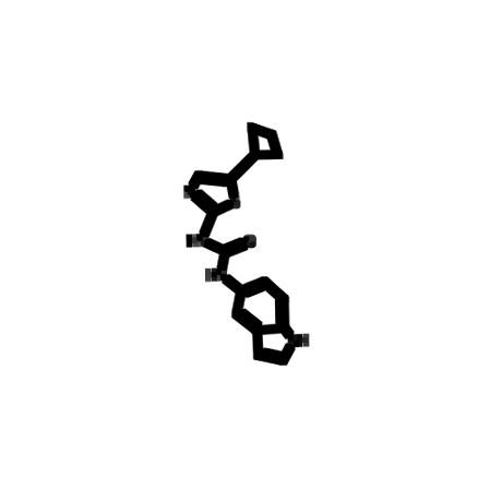 O=C(Nc1ccc2[nH]ccc2c1)Nc1ncc(C2CCC2)s1